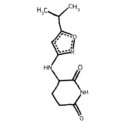 CC(C)c1cc(NC2CCC(=O)NC2=O)no1